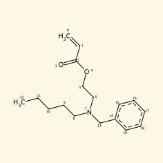 C=CC(=O)OCCN(CCCCC)Cc1ccccc1